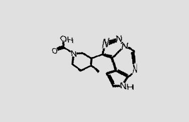 CC1CCN(C(=O)O)CC1c1nnn2cnc3[nH]ccc3c12